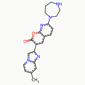 Cc1ccn2cc(-c3cc4ccc(N5CCCNCC5)nc4oc3=O)nc2c1